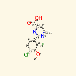 COc1c(Cl)ccc(-c2nc(C)cc(C(=O)O)n2)c1F